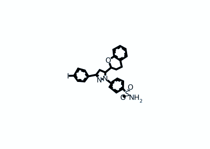 NS(=O)(=O)c1ccc(N2N=C(c3ccc(I)cc3)CC2C2CCc3ccccc3O2)cc1